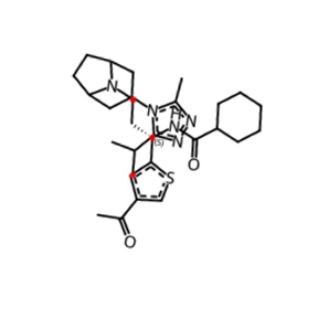 CC(=O)c1csc([C@H](CCN2C3CCC2CC(n2c(C)nnc2C(C)C)C3)NC(=O)C2CCCCC2)c1